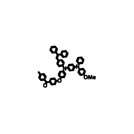 COc1ccc(N(c2ccccc2)c2ccc(N(c3ccc(C=C(c4ccccc4)c4ccccc4)cc3)c3ccc(Oc4ccc(C(=O)c5ccc(C)cc5)cc4)cc3)cc2)cc1